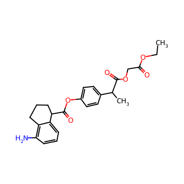 CCOC(=O)COC(=O)C(C)c1ccc(OC(=O)C2CCCc3c(N)cccc32)cc1